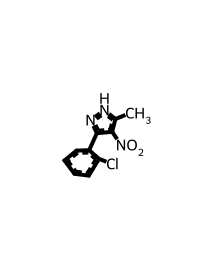 Cc1[nH]nc(-c2ccccc2Cl)c1[N+](=O)[O-]